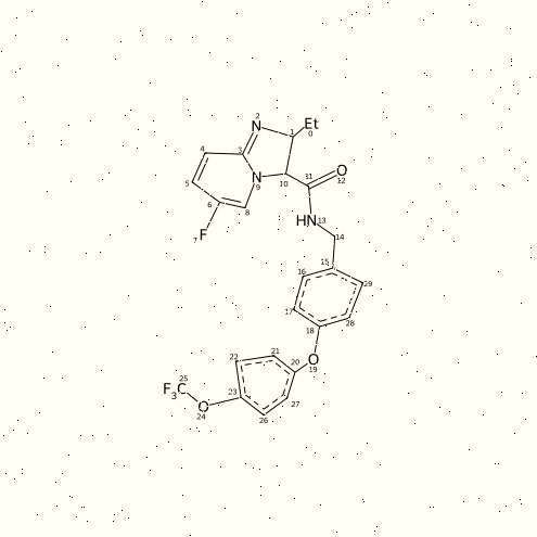 CCC1N=C2C=CC(F)=CN2C1C(=O)NCc1ccc(Oc2ccc(OC(F)(F)F)cc2)cc1